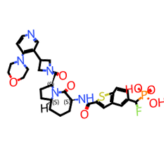 O=C(N[C@H]1CCC[C@H]2CC[C@@H](C(=O)N3CC(c4cnccc4N4CCOCC4)C3)N2C1=O)c1cc2cc(C(F)P(=O)(O)O)ccc2s1